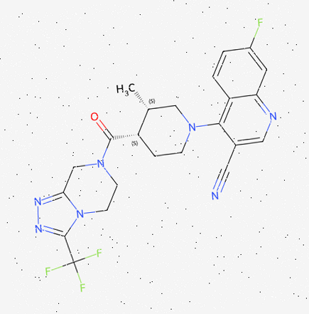 C[C@@H]1CN(c2c(C#N)cnc3cc(F)ccc23)CC[C@@H]1C(=O)N1CCn2c(nnc2C(F)(F)F)C1